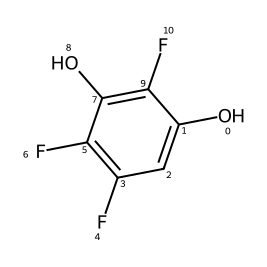 Oc1cc(F)c(F)c(O)c1F